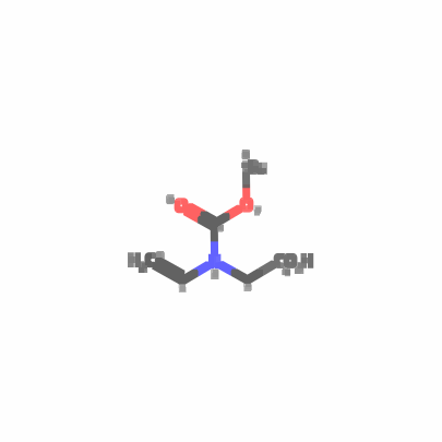 C=CN(CC(=O)O)C(=O)OC(C)(C)C